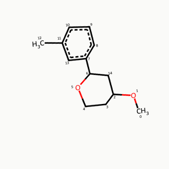 COC1CCOC(c2cccc(C)c2)C1